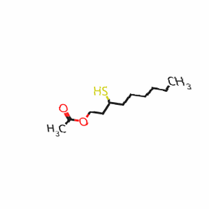 CCCCCCC(S)CCOC(C)=O